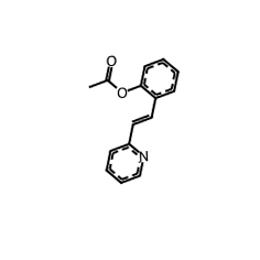 CC(=O)Oc1ccccc1/C=C/c1ccccn1